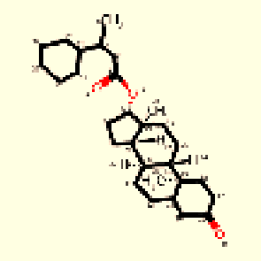 CC(CC(=O)O[C@H]1CC[C@H]2[C@@H]3CCC4CC(=O)CC[C@]4(C)[C@H]3CC[C@]12C)C1CCCCC1